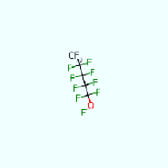 FOC(F)(F)C(F)(F)C(F)(F)C(F)(F)C(F)(F)F